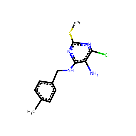 CCCSc1nc(Cl)c(N)c(NCc2ccc(C)cc2)n1